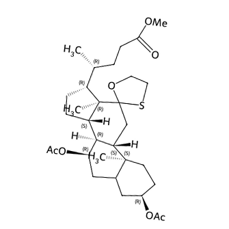 COC(=O)CC[C@@H](C)[C@H]1CC[C@H]2[C@@H]3[C@H](OC(C)=O)CC4C[C@H](OC(C)=O)CC[C@]4(C)[C@H]3CC3(OCCS3)[C@]12C